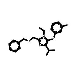 CCn1c(COCc2ccccc2)nc(C(C)C)c1Sc1cccc(F)c1